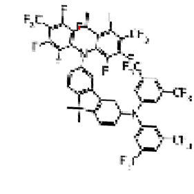 C=C(C)c1c(F)c(C(F)(F)F)c(F)c(F)c1N(c1ccc2c(c1)C1=C(C=CC(N(c3cc(C(F)(F)F)cc(C(F)(F)F)c3)c3cc(C(F)(F)F)cc(C(F)(F)F)c3)C1)C2(C)C)c1c(F)c(F)c(C(F)(F)F)c(F)c1F